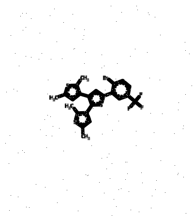 Cc1cc(-c2cc(-c3cc(C(F)(F)F)ccc3Br)sc2-c2cc(C)sc2C)c(C)s1